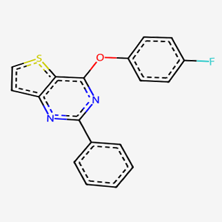 Fc1ccc(Oc2nc(-c3ccccc3)nc3ccsc23)cc1